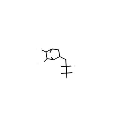 CC1C2CC(CC(C)(C)C(F)(F)F)C(O2)C1C